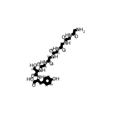 NCC(=O)NCC(=O)NCC(=O)NCC(=O)NCC(=O)NCC(=O)NC(CO)C(=O)NC(Cc1ccc(O)cc1)C(=O)O